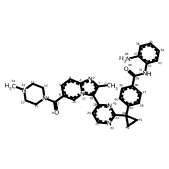 Cc1nc2ccc(C(=O)N3CCN(C)CC3)cn2c1-c1ccnc(C2(c3ccc(C(=O)Nc4ccccc4N)cc3)CC2)n1